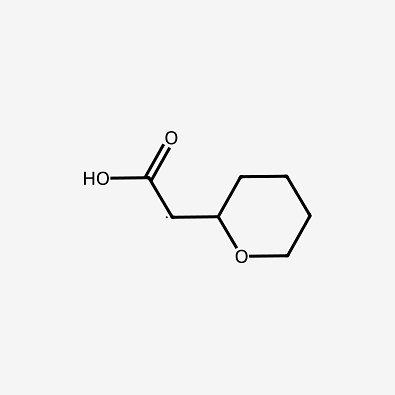 O=C(O)[CH]C1CCCCO1